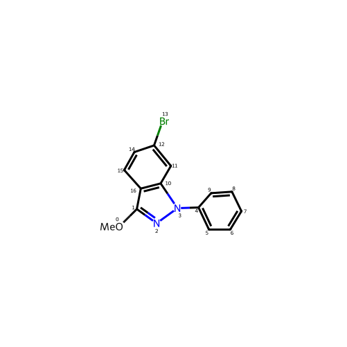 COc1nn(-c2ccccc2)c2cc(Br)ccc12